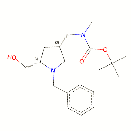 CN(C[C@H]1C[C@@H](CO)N(Cc2ccccc2)C1)C(=O)OC(C)(C)C